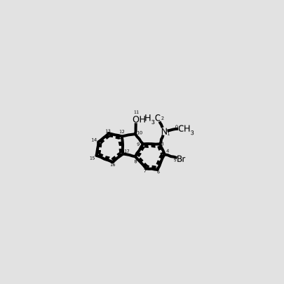 CN(C)c1c(Br)ccc2c1C(O)c1ccccc1-2